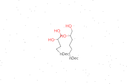 CCCCCCCCCCCCC(O)CO.CCCCCCCCCCCCCCC(O)CO